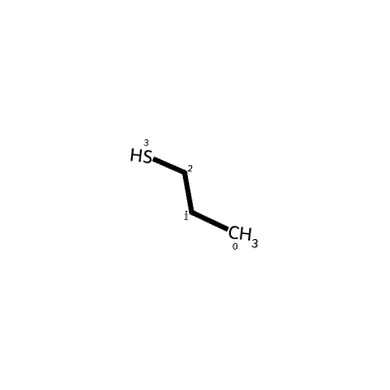 C[CH]CS